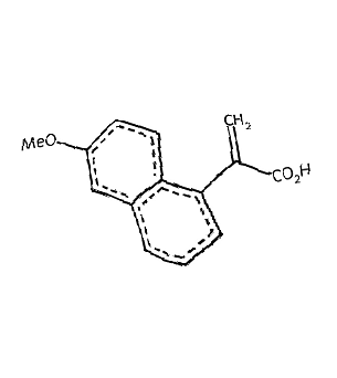 C=C(C(=O)O)c1cccc2cc(OC)ccc12